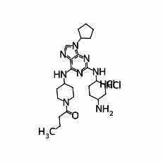 CCCC(=O)N1CCC(Nc2nc(NC3CCC(N)CC3)nc3c2ncn3C2CCCC2)CC1.Cl.Cl